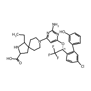 CCC1NC(C(=O)O)CC12CCN(c1cc(O[C@H](c3ccc(Cl)cc3-c3cccc(O)c3)C(F)(F)F)nc(N)n1)CC2